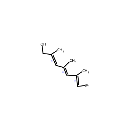 CC(=C\C(C)=C\C(C)C)/C=C(\C)CO